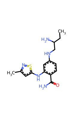 CCC(N)CNc1ccc(C(N)=O)c(Nc2cc(C)ns2)c1